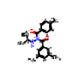 CCC[C@H](NN(C(=O)c1ccc(CC)cc1)C(=O)c1cc(C)cc(C)c1)C(C)(C)C